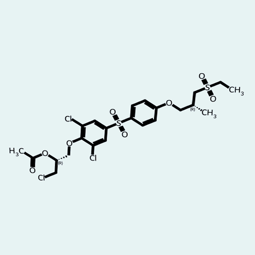 CCS(=O)(=O)C[C@H](C)COc1ccc(S(=O)(=O)c2cc(Cl)c(OC[C@H](CCl)OC(C)=O)c(Cl)c2)cc1